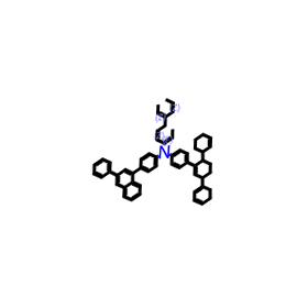 C/C=C\C(=C/C)C/C=C\C(=C/C)N(c1ccc(C2=CC(C3=CC=CCC3)CCC2C2C=CCCC2)cc1)c1ccc(-c2cc(-c3ccccc3)cc3ccccc23)cc1